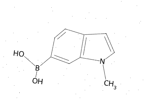 Cn1ccc2ccc(B(O)O)cc21